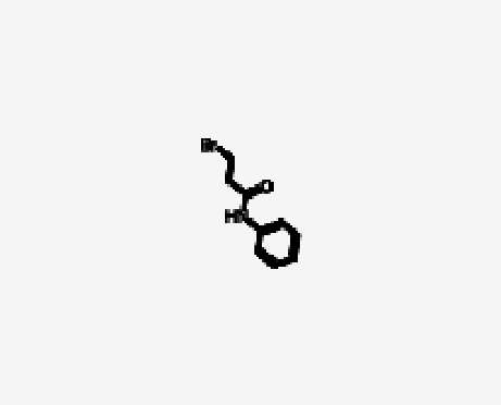 O=C(CCBr)Nc1ccccc1